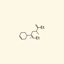 C=C(CC)C(C)C/C(=C\CC)C1CC=CCC1